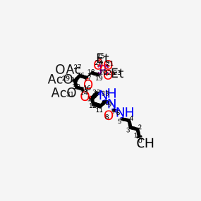 C#CCCCCNC(=O)Nc1ccc(O[C@H]2O[C@H](CCP(=O)(OCC)OCC)[C@@H](OC(C)=O)[C@H](OC(C)=O)[C@@H]2OC(C)=O)cn1